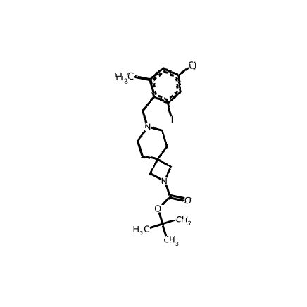 Cc1cc(Cl)cc(I)c1CN1CCC2(CC1)CN(C(=O)OC(C)(C)C)C2